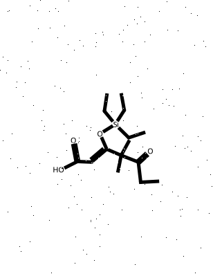 CCC(=O)C(C)(C)C(=CC(=O)O)O[Si](CC)(CC)CC